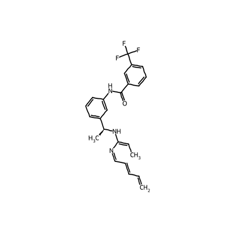 C=C/C=C/C=N\C(=C/C)N[C@@H](C)c1cccc(NC(=O)c2cccc(C(F)(F)F)c2)c1